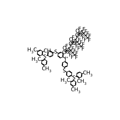 Cc1ccc([S+](c2ccc(Sc3ccc([I+]c4ccc(Sc5ccc([S+](c6ccc(C)cc6C)c6ccc(C)cc6C)cc5)cc4)cc3)cc2)c2ccc(C)cc2C)c(C)c1.O=S(=O)([O-])C(F)(F)C(F)(F)C(F)(F)C(F)(F)F.O=S(=O)([O-])C(F)(F)C(F)(F)C(F)(F)C(F)(F)F.O=S(=O)([O-])C(F)(F)C(F)(F)C(F)(F)C(F)(F)F